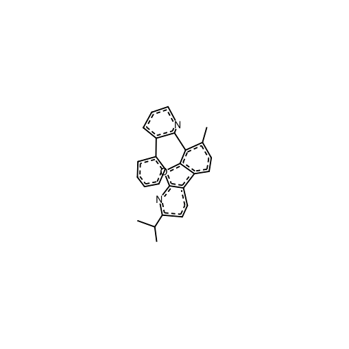 Cc1ccc2c(oc3nc(C(C)C)ccc32)c1-c1ncccc1-c1ccccc1